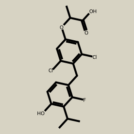 CC(Oc1cc(Cl)c(Cc2ccc(O)c(C(C)C)c2F)c(Cl)c1)C(=O)O